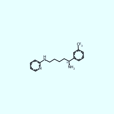 N[C@@H](CCCCNc1ccccn1)c1cccc(C(F)(F)F)c1